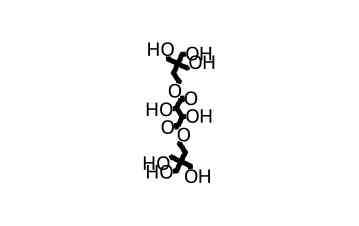 O=C(OCCC(CO)(CO)CO)C(O)C(O)C(=O)OCCC(CO)(CO)CO